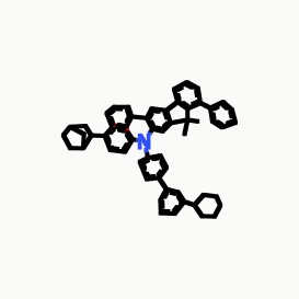 CC1(C)c2cc(N(c3ccc(-c4cccc(C5CCCCC5)c4)cc3)c3ccc(C4CC5CCC4C5)cc3)c(-c3ccccc3)cc2-c2cccc(-c3ccccc3)c21